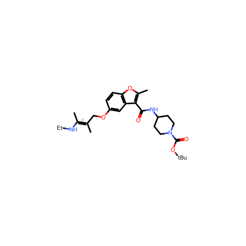 CCN/C(C)=C(\C)COc1ccc2oc(C)c(C(=O)NC3CCN(C(=O)OC(C)(C)C)CC3)c2c1